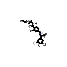 CC(NC(=O)c1ccc(/C=C/C(c2cc(Cl)c(Cl)c(Cl)c2)C(F)(F)F)cc1Br)C(=O)NCCF